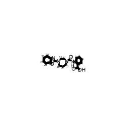 O=C(O)c1ccccc1NC(=O)N1CCCN(c2nc3ccccc3o2)CC1